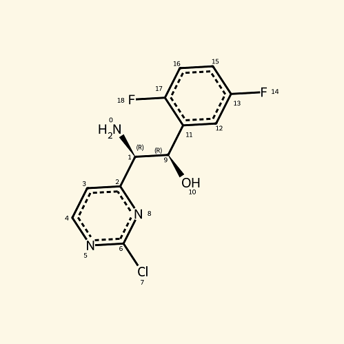 N[C@H](c1ccnc(Cl)n1)[C@H](O)c1cc(F)ccc1F